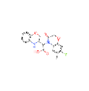 Cc1cc2c(cc1F)OCC(=O)N2C(C(=O)O)C1COc2ccccc2N1